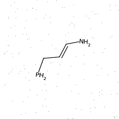 NC=CCP